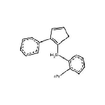 CCCc1ccccc1[SiH2]C1=C(c2ccccc2)C=CC1